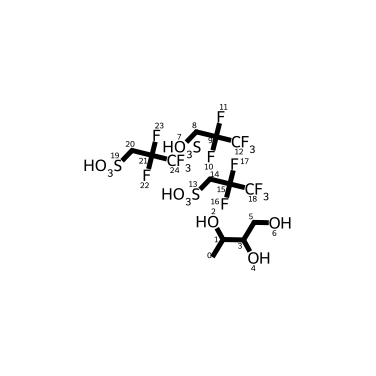 CC(O)C(O)CO.O=S(=O)(O)CC(F)(F)C(F)(F)F.O=S(=O)(O)CC(F)(F)C(F)(F)F.O=S(=O)(O)CC(F)(F)C(F)(F)F